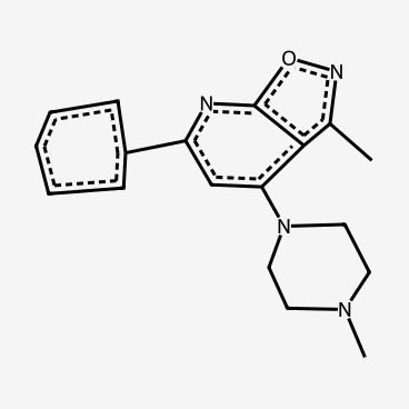 Cc1noc2nc(-c3ccccc3)cc(N3CCN(C)CC3)c12